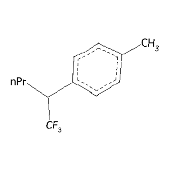 CCCC(c1ccc(C)cc1)C(F)(F)F